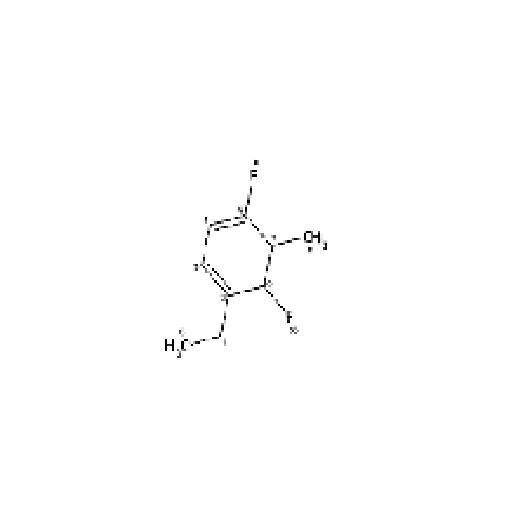 CCC1=CC=C(F)C(C)C1F